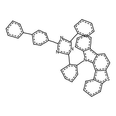 c1ccc(-c2ccc(-c3nc(-c4ccccc4)nc(-c4ccccc4-n4c5ccccc5c5ccc6sc7ccccc7c6c54)n3)cc2)cc1